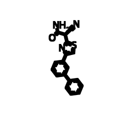 N#CC(C(N)=O)c1nc(-c2cccc(-c3ccccc3)c2)cs1